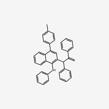 C=C(c1ccccc1)C(c1ccccc1)c1cc(-c2ccc(C)cc2)c2ccccc2c1Nc1ccccc1